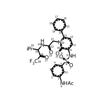 CC(=O)Nc1cccc(S(=O)(=O)Nc2ccc(-c3ccccc3)n(CC(=O)NC(C(=O)C(F)(F)F)C(C)C)c2=O)c1